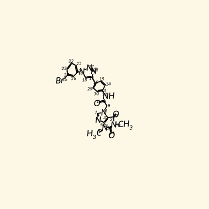 Cn1c(=O)c2c(ncn2CC(=O)Nc2ccc(-c3cn(-c4cccc(Br)c4)nn3)cc2)n(C)c1=O